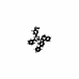 CC(C)(C)c1ccc(-c2nc(-c3ccccc3)nc(-n3c4cc(-c5ccccc5)ccc4c4c5ccccc5ccc43)n2)cc1